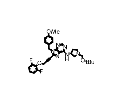 COc1ccc(Cn2c(C#CCOc3c(F)cccc3F)nc3c(N[C@@H]4CCN(COC(C)(C)C)C4)ncnc32)cc1